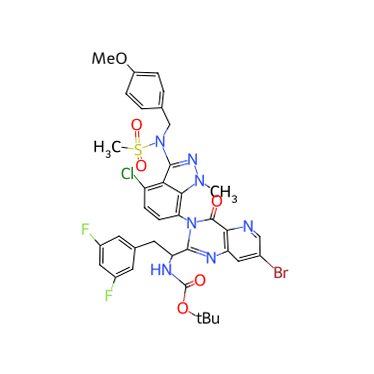 COc1ccc(CN(c2nn(C)c3c(-n4c(C(Cc5cc(F)cc(F)c5)NC(=O)OC(C)(C)C)nc5cc(Br)cnc5c4=O)ccc(Cl)c23)S(C)(=O)=O)cc1